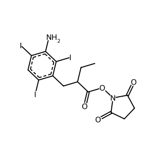 CCC(Cc1c(I)cc(I)c(N)c1I)C(=O)ON1C(=O)CCC1=O